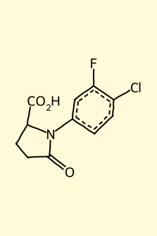 O=C(O)C1CCC(=O)N1c1ccc(Cl)c(F)c1